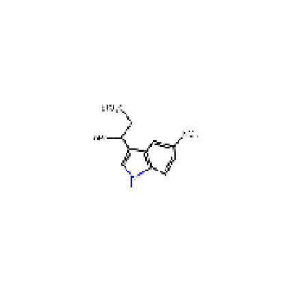 CCCC(CC(=O)OCC)c1c[nH]c2ccc([N+](=O)[O-])cc12